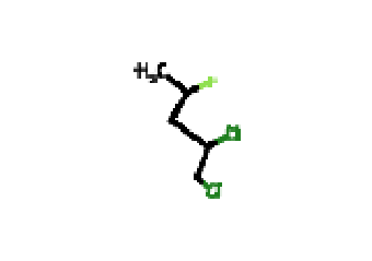 [CH2]C(F)CC(Cl)CCl